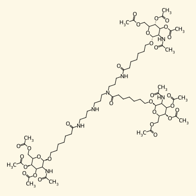 CC(=O)NC1C(OC(C)=O)[C@@H](OC(C)=O)C(COC(C)=O)O[C@H]1OCCCCCCC(=O)NCCCNCCCN(CCCNC(=O)CCCCCCO[C@@H]1OC(COC(C)=O)[C@H](OC(C)=O)C(OC(C)=O)C1NC(C)=O)C(=O)CCCCCCO[C@@H]1OC(COC(C)=O)[C@H](OC(C)=O)C(OC(C)=O)C1NC(C)=O